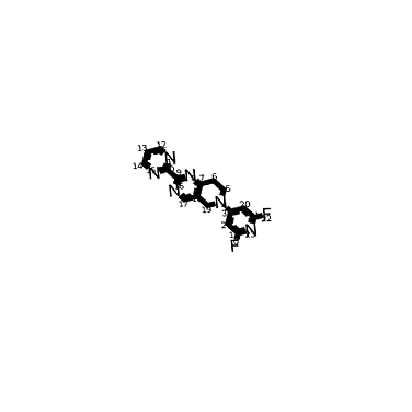 Fc1cc(N2CCc3nc(-c4ncccn4)ncc3C2)cc(F)n1